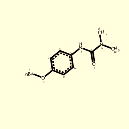 CCCCOc1ccc(NC(=O)N(C)C)cc1